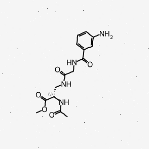 COC(=O)[C@H](CNC(=O)CNC(=O)c1cccc(N)c1)NC(C)=O